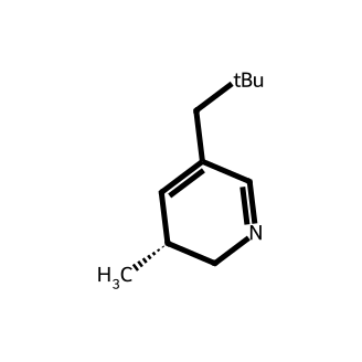 C[C@@H]1C=C(CC(C)(C)C)C=NC1